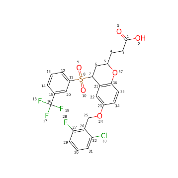 O=C(O)CCC1CC(S(=O)(=O)c2cccc(C(F)(F)F)c2)c2cc(OCc3c(F)cccc3Cl)ccc2O1